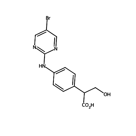 O=C(O)C(CO)c1ccc(Nc2ncc(Br)cn2)cc1